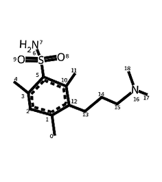 Cc1cc(C)c(S(N)(=O)=O)c(C)c1CCCN(C)C